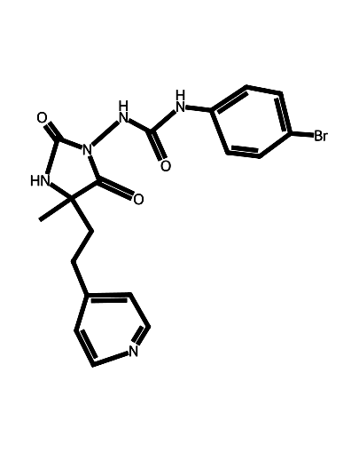 CC1(CCc2ccncc2)NC(=O)N(NC(=O)Nc2ccc(Br)cc2)C1=O